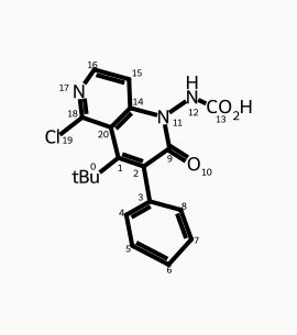 CC(C)(C)c1c(-c2ccccc2)c(=O)n(NC(=O)O)c2ccnc(Cl)c12